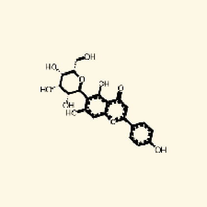 O=c1cc(-c2ccc(O)cc2)oc2cc(O)c(C3O[C@@H](CO)[C@@H](O)[C@@H](O)[C@H]3O)c(O)c12